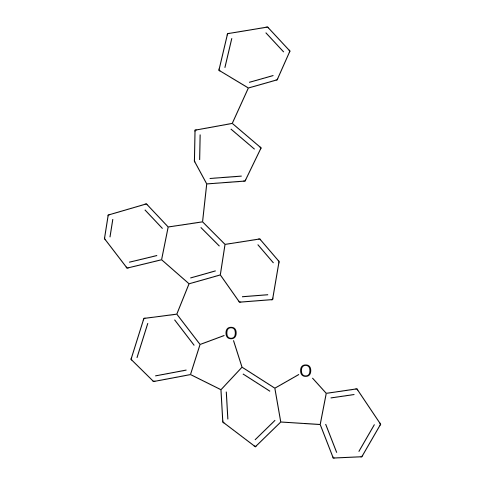 c1ccc(-c2ccc(-c3c4ccccc4c(-c4cccc5c4oc4c5ccc5c6ccccc6oc54)c4ccccc34)cc2)cc1